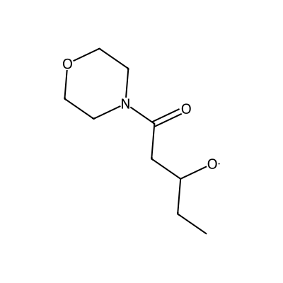 CCC([O])CC(=O)N1CCOCC1